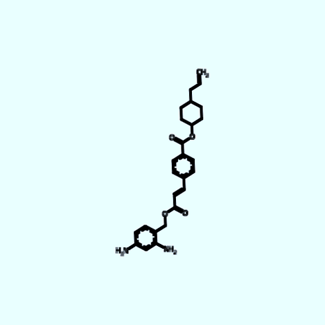 C=CCC1CCC(OC(=O)c2ccc(/C=C/C(=O)OCc3ccc(N)cc3N)cc2)CC1